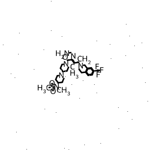 C=C(/C(C)=C(\N=C/N)C(=O)N1CCC(N2CCC(N(C)S(C)(=O)=O)CC2)CC1)N1CCc2ccc(C(F)(F)F)cc2C1